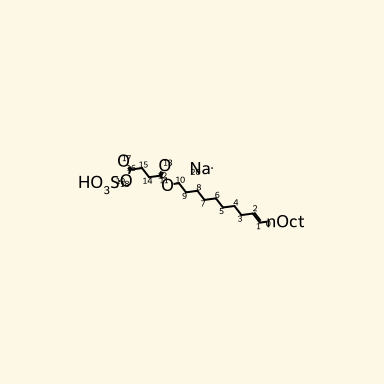 CCCCCCCCC=CCCCCCCCCOC(=O)CCC(=O)OS(=O)(=O)O.[Na]